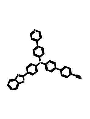 N#Cc1ccc(-c2ccc(N(c3ccc(-c4ccncc4)cc3)c3ccc(-c4nc5ccccc5s4)cc3)cc2)cc1